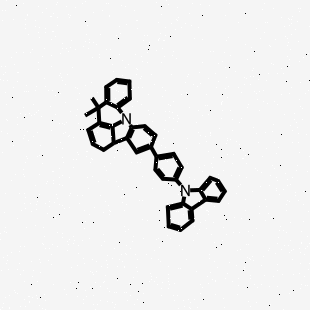 CC1(C)C2=C3C(CC=C2)c2cc(-c4ccc(-n5c6ccccc6c6ccccc65)cc4)ccc2N3c2ccccc21